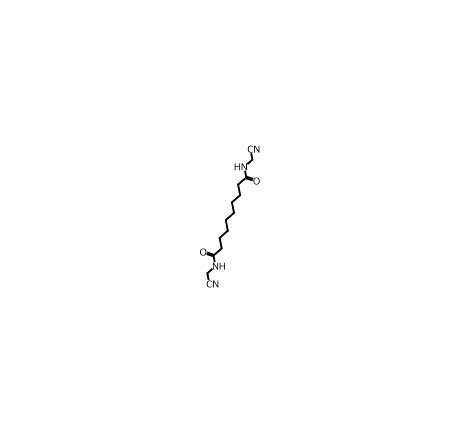 N#CCNC(=O)CCCCCCCCC(=O)NCC#N